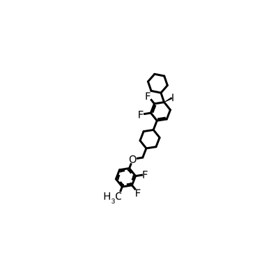 Cc1ccc(OCC2CCC(C3=CC[C@@](I)(C4CCCCC4)C(F)=C3F)CC2)c(F)c1F